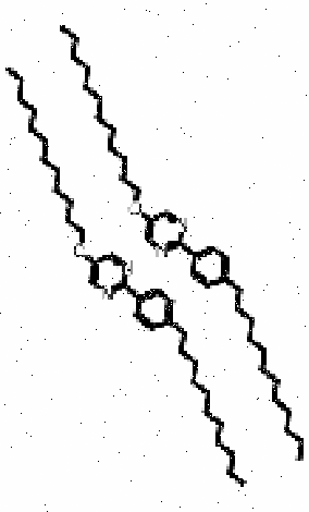 CCCCCCCCCCCCOc1cnc(-c2ccc(CCCCCCCCCCC)cc2)nc1.CCCCCCCCCCCCOc1cnc(-c2ccc(CCCCCCCCCCCC)cc2)nc1